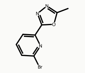 Cc1nnc(-c2cccc(Br)n2)o1